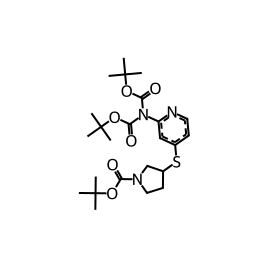 CC(C)(C)OC(=O)N1CCC(Sc2ccnc(N(C(=O)OC(C)(C)C)C(=O)OC(C)(C)C)c2)C1